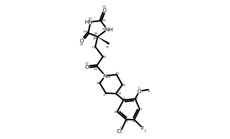 COc1cc(F)c(Cl)cc1C1CCN(C(=O)CC[C@@]2(C)NC(=O)NC2=O)CC1